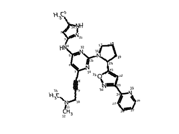 Cc1cc(Nc2cc(C#CCN(C)C)nc(N3CCC[C@H]3c3cc(-c4ccccn4)no3)n2)n[nH]1